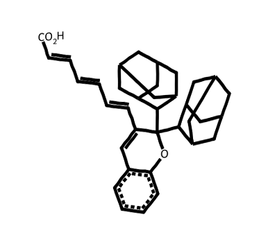 O=C(O)C=CC=CC=CC1=Cc2ccccc2OC1(C1C2CC3CC(C2)CC1C3)C1C2CC3CC(C2)CC1C3